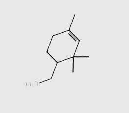 CC1=CC(C)(C)C(CO)CC1